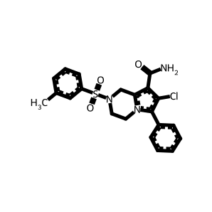 Cc1cccc(S(=O)(=O)N2CCn3c(c(C(N)=O)c(Cl)c3-c3ccccc3)C2)c1